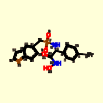 CC(C)c1ccc([C@@H](NS(=O)(=O)Cc2ccc3sccc3c2)C(=O)NO)cc1